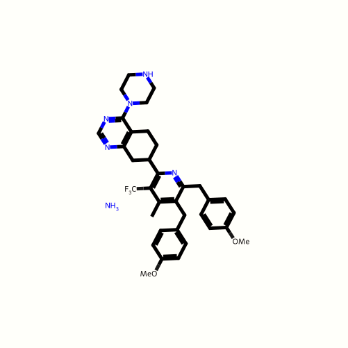 COc1ccc(Cc2nc(C3CCc4c(ncnc4N4CCNCC4)C3)c(C(F)(F)F)c(C)c2Cc2ccc(OC)cc2)cc1.N